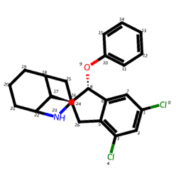 Clc1cc(Cl)c2c(c1)[C@@H](Oc1ccccc1)[C@H](C1C3CCCC1NCC3)C2